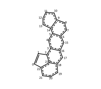 C1=Cc2c3cc4c(ccc5ccccc54)cc3cc3cccc1c23